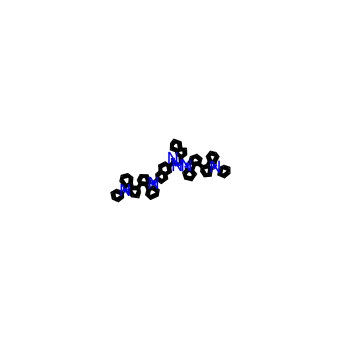 c1ccc(-n2c3ccccc3c3c(-c4cccc5c4c4ccccc4n5-c4ccc5cc(-c6nc(-n7c8ccccc8c8c(-c9cccc%10c9c9ccccc9n%10-c9ccccc9)cccc87)c7ccc8ccccc8c7n6)ccc5c4)cccc32)cc1